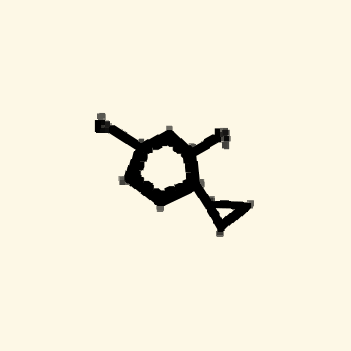 CCc1[c]c(CC)c(C2CC2)cc1